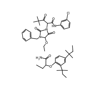 CCC(Oc1ccc(C(C)(C)CC)cc1C(C)(C)CC)C(N)=O.CCOC1C(=O)N(C(C(=O)Nc2cccc(Cl)c2)C(=O)C(C)(C)C)C(=O)N1Cc1ccccc1